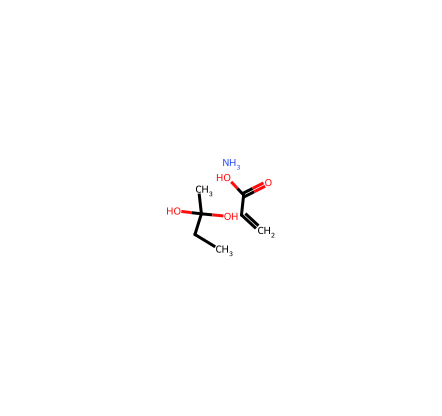 C=CC(=O)O.CCC(C)(O)O.N